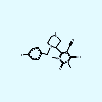 Cn1c(C2CNCCN2Cc2ccc(F)cc2)c(C#N)c(=N)n(C)c1=S